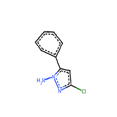 Nn1nc(Cl)cc1-c1ccccc1